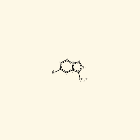 CCOC(=O)c1ncn2ccc(Br)cc12